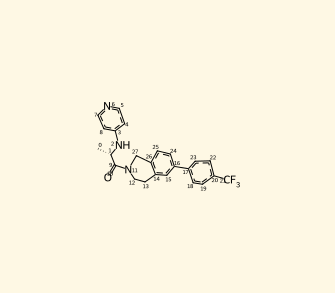 C[C@H](Nc1ccncc1)C(=O)N1CCc2cc(-c3ccc(C(F)(F)F)cc3)ccc2C1